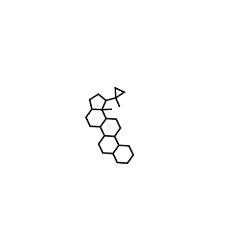 CC1(C2CCC3CCC4C5CCC6CCCCC6C5CCC4C32C)CC1